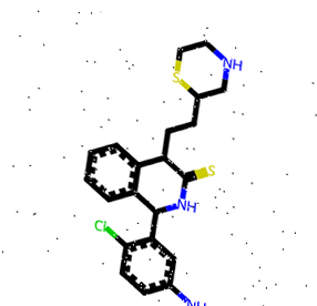 Nc1ccc(Cl)c(C2NC(=S)C(CCC3CNCCS3)c3ccccc32)c1